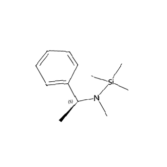 C[C@@H](c1ccccc1)N(C)[Si](C)(C)C